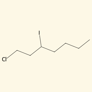 CCCCC(I)CCCl